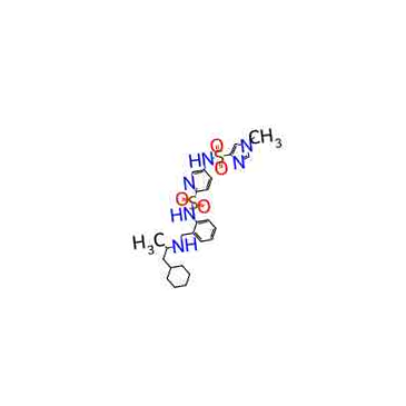 CC(CC1CCCCC1)NCc1ccccc1NS(=O)(=O)c1ccc(NS(=O)(=O)c2cn(C)cn2)cn1